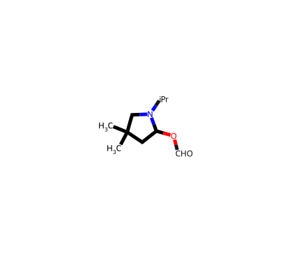 CC(C)N1CC(C)(C)CC1OC=O